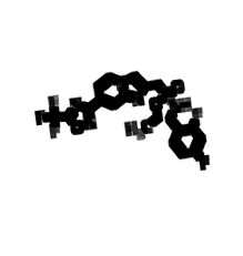 CCOP(=O)(Cc1cn2ccc(-c3noc(C(F)(F)F)n3)cc2n1)NCc1ccc(F)cc1F